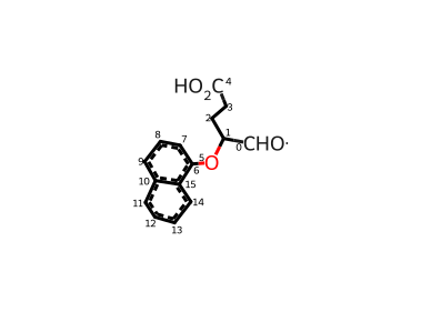 O=[C]C(CCC(=O)O)Oc1cccc2ccccc12